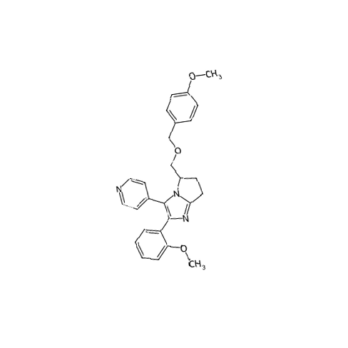 COc1ccc(COCC2CCc3nc(-c4ccccc4OC)c(-c4ccncc4)n32)cc1